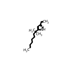 C=Cc1cc(C(C)(C)CCCCCCC)[nH]n1